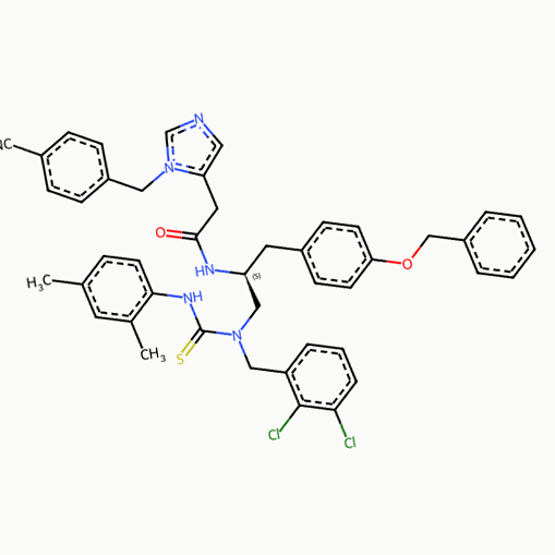 Cc1ccc(NC(=S)N(Cc2cccc(Cl)c2Cl)C[C@H](Cc2ccc(OCc3ccccc3)cc2)NC(=O)Cc2cncn2Cc2ccc(C#N)cc2)c(C)c1